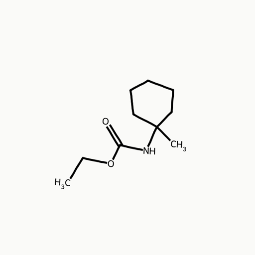 CCOC(=O)NC1(C)CCCCC1